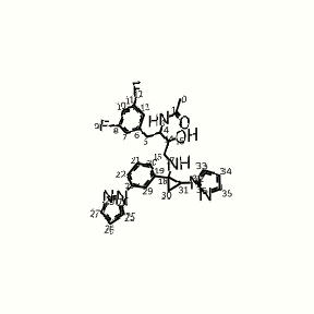 CC(=O)NC(Cc1cc(F)cc(F)c1)C(O)CNC1(c2cccc(-n3cccn3)c2)CC1n1cccn1